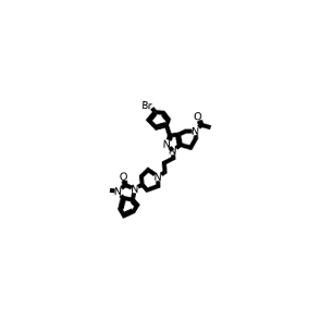 CC(=O)N1CCc2c(c(-c3ccc(Br)cc3)nn2CCCN2CCC(n3c(=O)n(C)c4ccccc43)CC2)C1